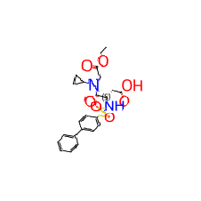 CCOC(=O)CN(C(=O)[C@H](CC(=O)O)NS(=O)(=O)c1ccc(-c2ccccc2)cc1)C1CC1